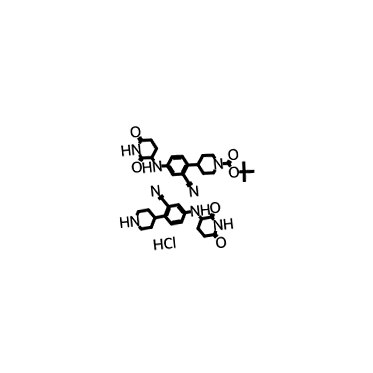 CC(C)(C)OC(=O)N1CCC(c2ccc(NC3CCC(=O)NC3=O)cc2C#N)CC1.Cl.N#Cc1cc(NC2CCC(=O)NC2=O)ccc1C1CCNCC1